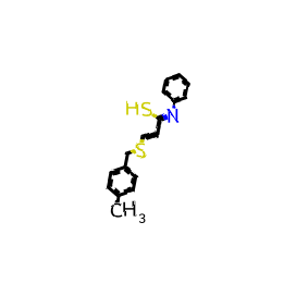 Cc1ccc(CSC=CC(S)=Nc2ccccc2)cc1